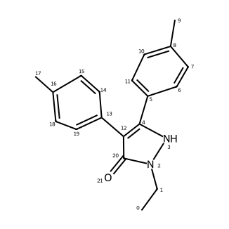 CCn1[nH]c(-c2ccc(C)cc2)c(-c2ccc(C)cc2)c1=O